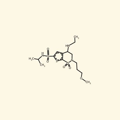 CCNC1CN(CCCOC)S(=O)(=O)c2sc(S(=O)(=O)NC(C)C)cc21